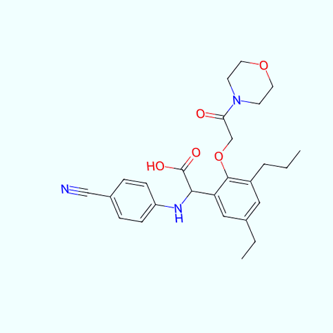 CCCc1cc(CC)cc(C(Nc2ccc(C#N)cc2)C(=O)O)c1OCC(=O)N1CCOCC1